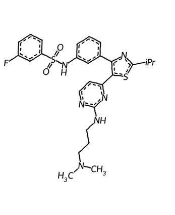 CC(C)c1nc(-c2cccc(NS(=O)(=O)c3cccc(F)c3)c2)c(-c2ccnc(NCCCN(C)C)n2)s1